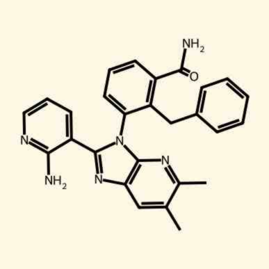 Cc1cc2nc(-c3cccnc3N)n(-c3cccc(C(N)=O)c3Cc3ccccc3)c2nc1C